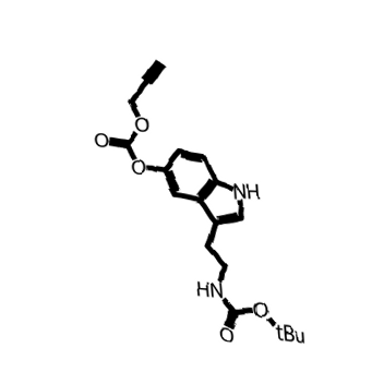 C#CCOC(=O)Oc1ccc2[nH]cc(CCNC(=O)OC(C)(C)C)c2c1